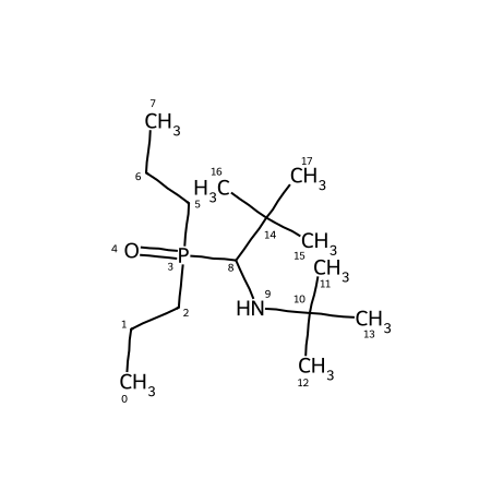 CCCP(=O)(CCC)C(NC(C)(C)C)C(C)(C)C